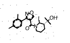 Cc1ccc(-c2nocc2C(=O)N2CCC[C@@H](C(C)(C)O)C2I)c(C)c1